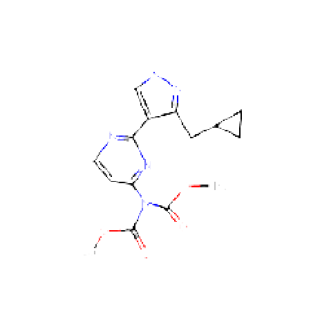 CC(C)(C)OC(=O)N(C(=O)OC(C)(C)C)c1ccnc(-c2c[nH]nc2CC2CC2)n1